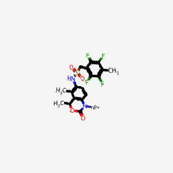 CCCN1C(=O)OC(C)c2c1ccc(NS(=O)(=O)Cc1c(F)c(F)c(C)c(F)c1F)c2C